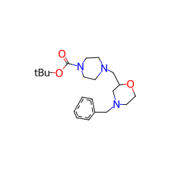 CC(C)(C)OC(=O)N1CCN(CC2CN(Cc3ccccc3)CCO2)CC1